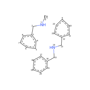 CCNCc1ccccc1.c1ccc(CNCc2ccccc2)cc1